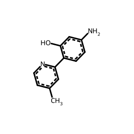 Cc1ccnc(-c2ccc(N)cc2O)c1